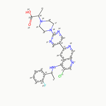 CC(Nc1c(Cl)cnc2cnc(-c3cnc(N4CCN(C(C)C(=O)O)CC4)nc3)cc12)c1ccccc1F